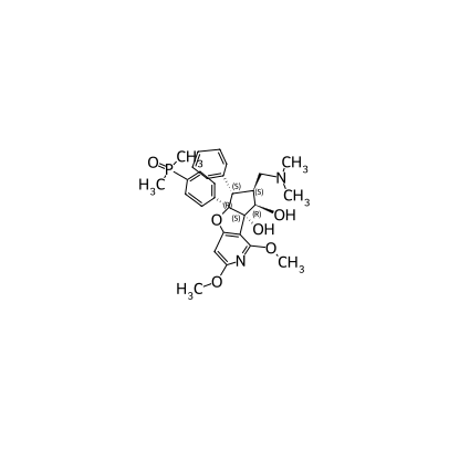 COc1cc2c(c(OC)n1)[C@]1(O)[C@H](O)[C@H](CN(C)C)[C@@H](c3ccccc3)[C@]1(c1ccc(P(C)(C)=O)cc1)O2